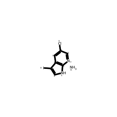 Clc1cnc2[nH]cc(I)c2c1.N